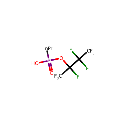 CCCP(=O)(O)OC(F)(C(F)(F)F)C(F)(F)C(F)(F)F